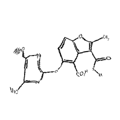 CCSC(=O)c1c(C)oc2ccc(Oc3nc(OC)cc(OC)n3)c(C(=O)O)c12